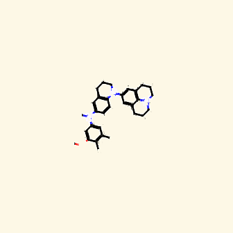 COc1cc(N(C)c2ccc3c(c2)CCCN3c2cc3c4c(c2)CCCN4CCC3)cc(C)c1C